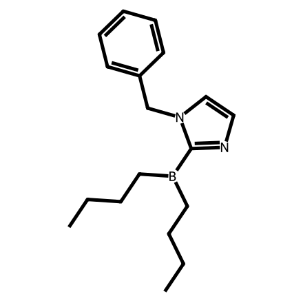 CCCCB(CCCC)c1nccn1Cc1ccccc1